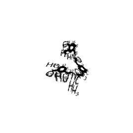 CC(C)(Cc1cccc(CC(=O)NCc2ccc(Cl)c(C(F)(F)F)c2)c1)NC[C@H](O)c1ccc(O)c(CO)c1